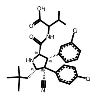 CC(C)C(NC(=O)[C@@H]1N[C@@H](CC(C)(C)C)[C@](C#N)(c2ccc(Cl)cc2)[C@H]1c1cccc(Cl)c1)C(=O)O